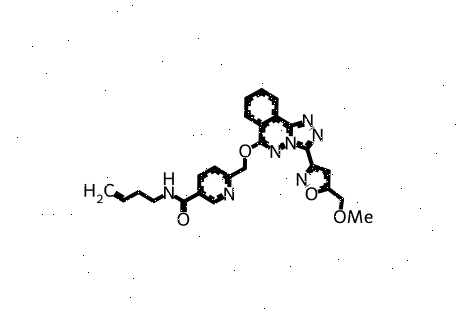 C=CCCNC(=O)c1ccc(COc2nn3c(-c4cc(COC)on4)nnc3c3ccccc23)nc1